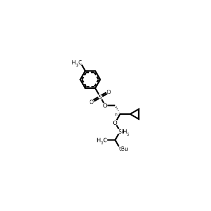 Cc1ccc(S(=O)(=O)OC[C@@H](O[SiH2]C(C)C(C)(C)C)C2CC2)cc1